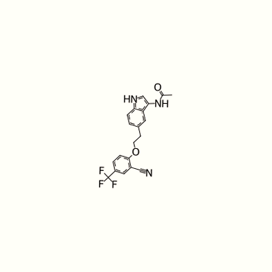 CC(=O)Nc1c[nH]c2ccc(CCOc3ccc(C(F)(F)F)cc3C#N)cc12